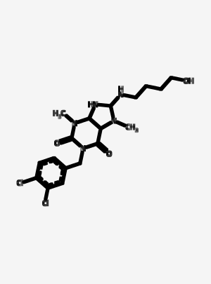 CN1C(=O)N(Cc2ccc(Cl)c(Cl)c2)C(=O)C2C1NC(NCCCCO)N2C